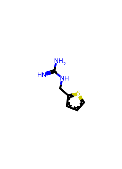 N=C(N)NCc1cccs1